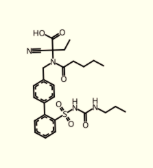 CCCCC(=O)N(Cc1ccc(-c2ccccc2S(=O)(=O)NC(=O)NCCC)cc1)C(C#N)(CC)C(=O)O